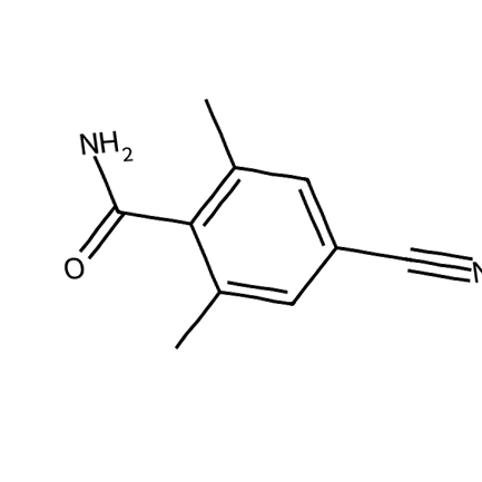 Cc1cc(C#N)cc(C)c1C(N)=O